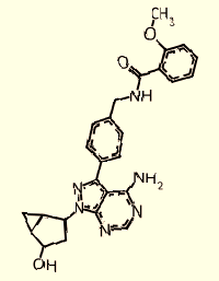 COc1ccccc1C(=O)NCc1ccc(-c2nn(C3CC(O)C4CC43)c3ncnc(N)c23)cc1